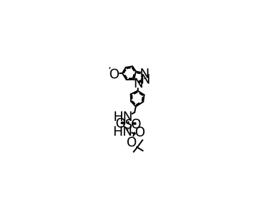 COc1ccc2nnn(-c3ccc(CNS(=O)(=O)NC(=O)OC(C)(C)C)cc3)c2c1